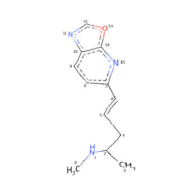 CNC(C)CC=Cc1ccc2ncoc2n1